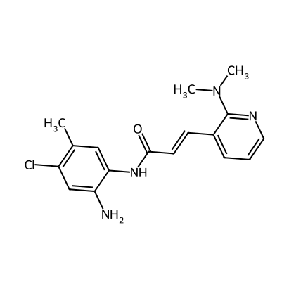 Cc1cc(NC(=O)/C=C/c2cccnc2N(C)C)c(N)cc1Cl